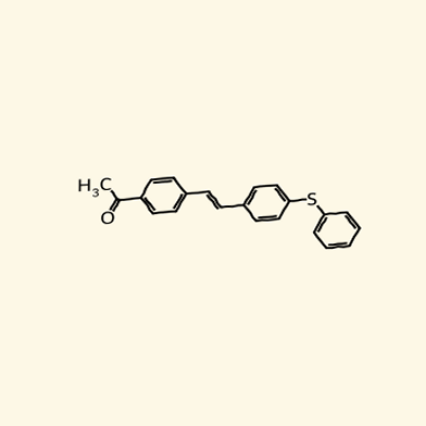 CC(=O)c1ccc(C=Cc2ccc(Sc3ccccc3)cc2)cc1